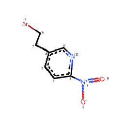 O=[N+]([O-])c1ccc(CCBr)cn1